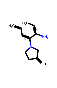 C=C/C=C(\C(N)=C/C)N1CCC(=C)C1